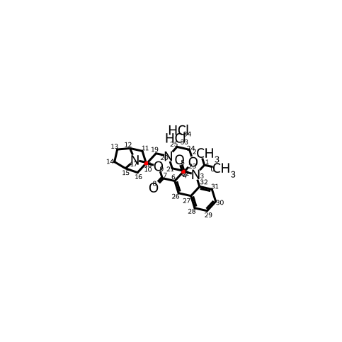 CC(C)n1c(=O)c(C(=O)OC2CC3CCC(C2)N3CCN2CCOCC2)cc2ccccc21.Cl.Cl